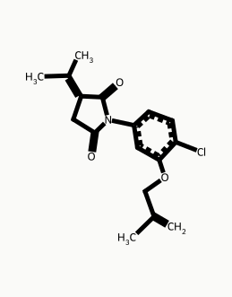 C=C(C)COc1cc(N2C(=O)CC(=C(C)C)C2=O)ccc1Cl